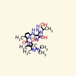 CC1=C(/C(C)=N\C(C)N(C)C)CC(O)N1C(=O)c1nc(Nc2snc(O)c2C(=N)NC(C)CO)ccc1C